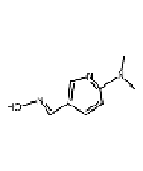 CN(C)c1ccc(C=NO)cn1